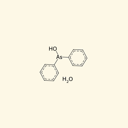 O.O[As](c1ccccc1)c1ccccc1